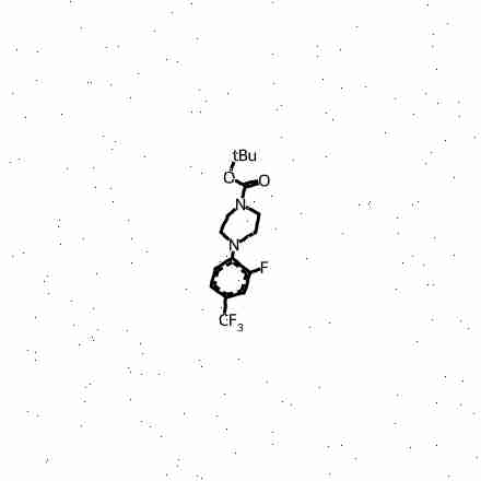 CC(C)(C)OC(=O)N1CCN(c2ccc(C(F)(F)F)cc2F)CC1